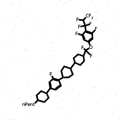 CCCCCC1CCC(c2ccc(C3CCC(C4CCC(C(F)(F)Oc5cc(F)c(C(F)(F)C(F)C(F)(F)F)c(F)c5)CC4)CC3)c(F)c2)CC1